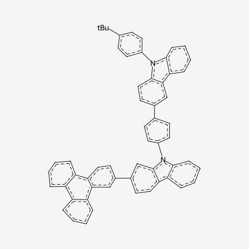 CC(C)(C)c1ccc(-n2c3ccccc3c3cc(-c4ccc(-n5c6ccccc6c6ccc(-c7ccc8c9ccccc9c9ccccc9c8c7)cc65)cc4)ccc32)cc1